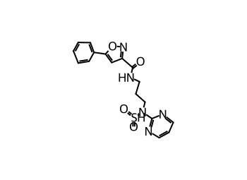 O=C(NCCCN(c1ncccn1)[SH](=O)=O)c1cc(-c2ccccc2)on1